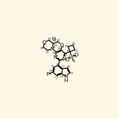 CS(=O)(=O)C1(c2nc(-c3cc(F)cc4[nH]ccc34)nc3c2OC[C@@H]2COCCN32)CCC1